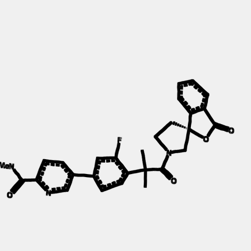 CNC(=O)c1ccc(-c2ccc(C(C)(C)C(=O)N3CC[C@@]4(C3)OC(=O)c3ccccc34)c(F)c2)cn1